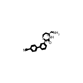 N#Cc1ccc(-c2cccc([C@H]3SCC[C@@H](CN)NC3=O)c2)cc1